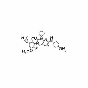 COc1cc(OC)c(Cl)c(N2Cc3cnc(NC4CCC(N)CC4)nc3N(C3CCCC3)C2=O)c1F